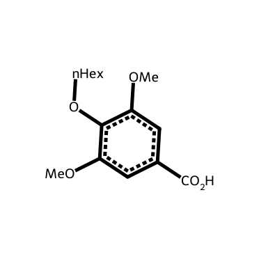 CCCCCCOc1c(OC)cc(C(=O)O)cc1OC